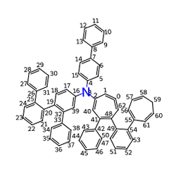 C1=CC(N(c2ccc(-c3ccccc3)cc2)c2ccc(-c3ccccc3-c3ccccc3)c(-c3ccccc3)c2)=CC(c2ccccc2)=C(c2ccccc2C2=CC=CCC=C2)C=1